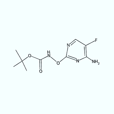 CC(C)(C)OC(=O)NOc1ncc(F)c(N)n1